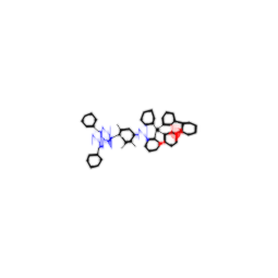 Cc1cc(N2c3ccccc3C(c3ccccc3)(c3cccc4c3oc3ccccc34)c3ccccc32)c(C)c(C)c1-c1nc(-c2ccccc2)nc(-c2ccccc2)n1